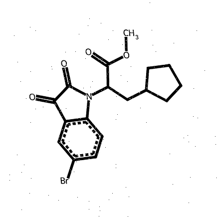 COC(=O)C(CC1CCCC1)N1C(=O)C(=O)c2cc(Br)ccc21